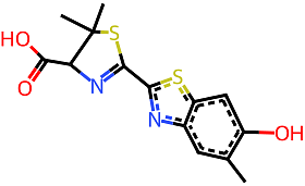 Cc1cc2nc(C3=NC(C(=O)O)C(C)(C)S3)sc2cc1O